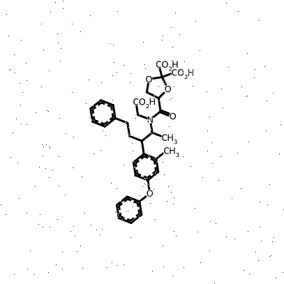 Cc1cc(Oc2ccccc2)ccc1C(CCc1ccccc1)C(C)N(CC(=O)O)C(=O)C1COC(C(=O)O)(C(=O)O)O1